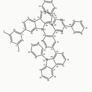 Cc1cc(C)cc(-c2ccc3c4ccccc4n(-c4ccc(-c5cccc6c7ccccc7n(-c7ccccc7)c56)cc4-c4nc(-c5ccccc5)nc(-c5ccccc5)n4)c3c2)c1